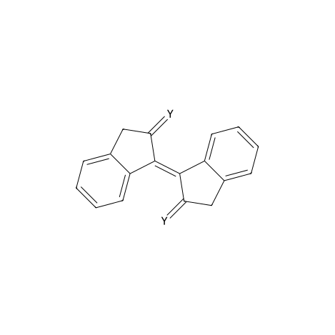 [Y]=[C]1Cc2ccccc2/C1=C1\[C](=[Y])Cc2ccccc21